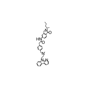 CCCC(C)N1Cc2cc(NC(=O)Cc3ccc(CN(C)CCn4c5ccccc5c5cccnc54)cc3)ccc2C1=O